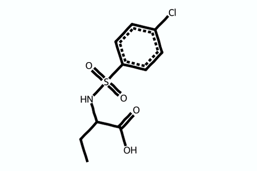 CCC(NS(=O)(=O)c1ccc(Cl)cc1)C(=O)O